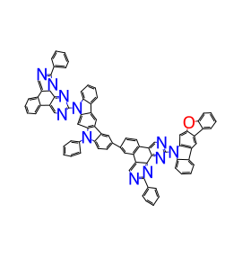 c1ccc(-c2ncc3c4cc(-c5ccc6c(c5)c5cc7c8ccccc8n(-c8ncc9c%10ccccc%10c%10cnc(-c%11ccccc%11)nc%10c9n8)c7cc5n6-c5ccccc5)ccc4c4cnc(-n5c6ccccc6c6cc7c(cc65)oc5ccccc57)nc4c3n2)cc1